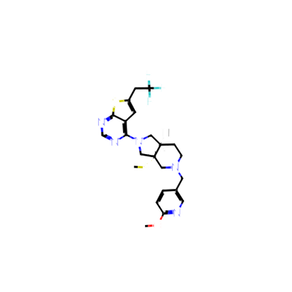 COc1ccc(CN2CC[C@@H]3CN(c4ncnc5sc(CC(F)(F)F)cc45)C[C@]3(SC)C2)cn1